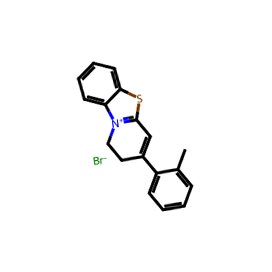 Cc1ccccc1C1=Cc2sc3ccccc3[n+]2CC1.[Br-]